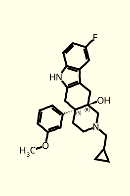 COc1cccc([C@@]23CCN(CC4CC4)C[C@@]2(O)Cc2c([nH]c4ccc(F)cc24)C3)c1